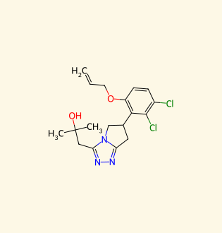 C=CCOc1ccc(Cl)c(Cl)c1C1Cc2nnc(CC(C)(C)O)n2C1